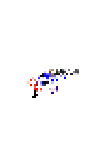 C=CCOC(=O)N1CCN(SC(=N)OC)CC1.I